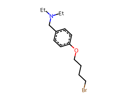 CCN(CC)Cc1ccc(OCCCCBr)cc1